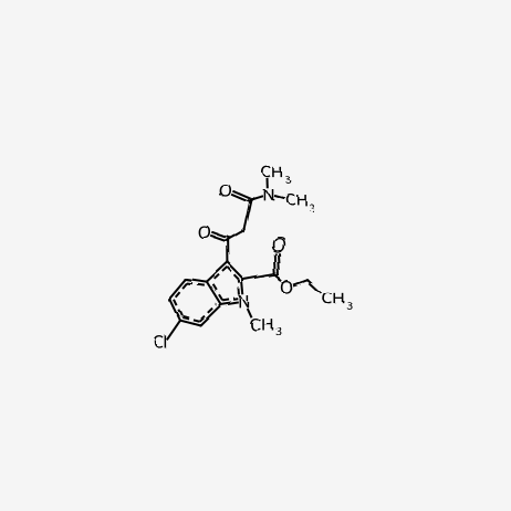 CCOC(=O)c1c(C(=O)CC(=O)N(C)C)c2ccc(Cl)cc2n1C